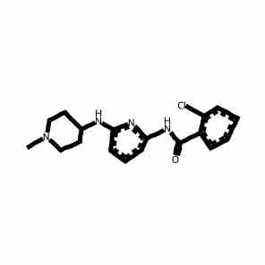 CN1CCC(Nc2cccc(NC(=O)c3ccccc3Cl)n2)CC1